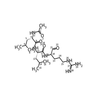 CC(=O)N[C@@H](CC(C)C)C(=O)N[C@@H](CC(C)C)C(=O)NC(C=O)CCCNC(=N)N